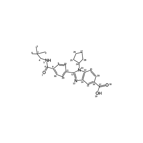 CC(C)(C)CNC(=O)c1ccc(-c2nc3cc(C(=O)O)ccc3n2C2CCCC2)cc1